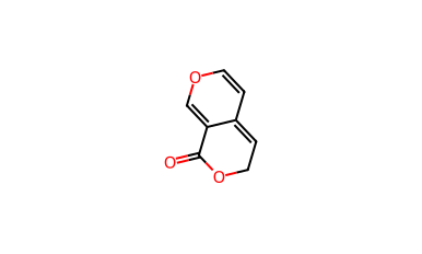 O=C1OCC=C2C=COC=C12